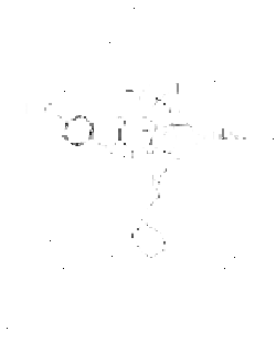 CCCCCCCCCCOC[C@@]12O[C@@H](CNCCN3CCCCC3)[C@@H](OC(=O)Nc3ccc(C)cc3)[C@@H]1OC(C)(C)O2